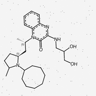 CC1CC[C@@H](C[C@H](C)n2c(=O)c(NCC(O)CO)nc3ccccc32)N1C1CCCCCCC1